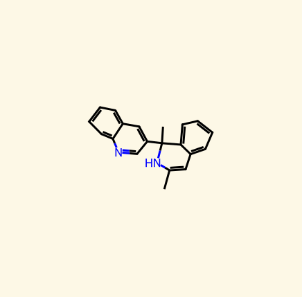 CC1=Cc2ccccc2C(C)(c2cnc3ccccc3c2)N1